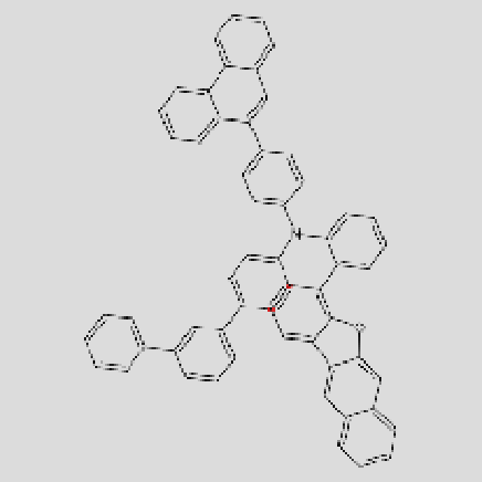 c1ccc(-c2cccc(-c3ccc(N(c4ccc(-c5cc6ccccc6c6ccccc56)cc4)c4ccccc4-c4cccc5c4oc4cc6ccccc6cc45)cc3)c2)cc1